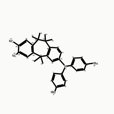 CC(C)(C)c1ccc(N(c2ccc(C(C)(C)C)cc2)c2ccc3c(c2)C(C)(C)c2cc(C#N)c(C#N)cc2C(C)(C)C3(C)C)cc1